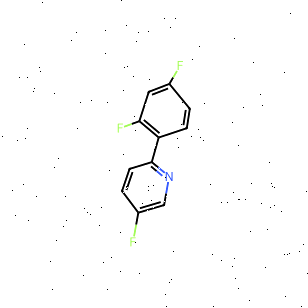 Fc1ccc(-c2ccc(F)cc2F)nc1